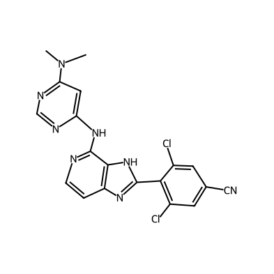 CN(C)c1cc(Nc2nccc3nc(-c4c(Cl)cc(C#N)cc4Cl)[nH]c23)ncn1